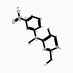 Cc1cnc(CI)nc1N(C)c1cccc([N+](=O)[O-])c1